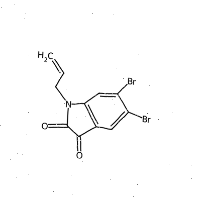 C=CCN1C(=O)C(=O)c2cc(Br)c(Br)cc21